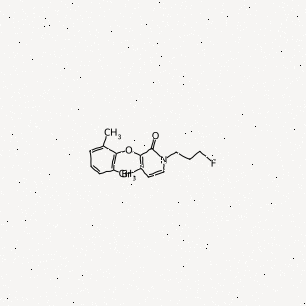 Cc1cccc(C)c1Oc1c(Br)ccn(CCCF)c1=O